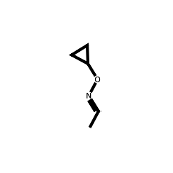 C[C]=NOC1CC1